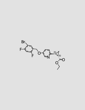 CCOC(=O)[C@H]1C[C@@H]1c1ccc(OCc2cc(Br)c(F)cc2F)cn1